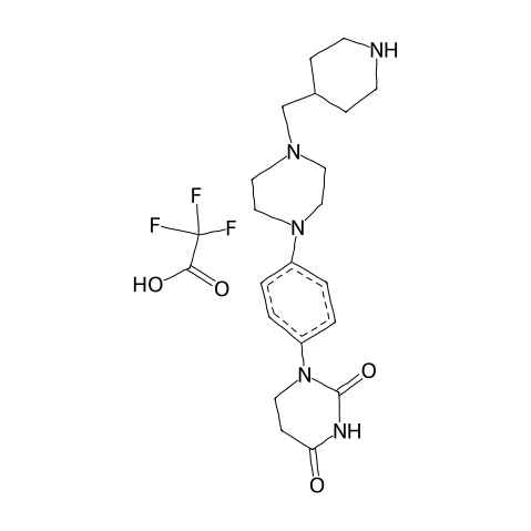 O=C(O)C(F)(F)F.O=C1CCN(c2ccc(N3CCN(CC4CCNCC4)CC3)cc2)C(=O)N1